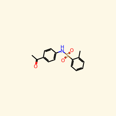 CC(=O)c1ccc(NS(=O)(=O)c2ccccc2C)cc1